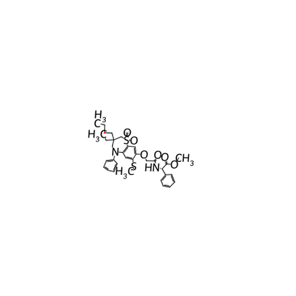 CCCCC1(CC)CN(c2ccccc2)c2cc(SC)c(OCC(=O)N[C@H](C(=O)OC)c3ccccc3)cc2S(=O)(=O)C1